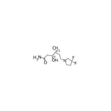 C[C@H](CCN1CCC(F)(F)C1)[C@@H](O)CC(N)=O